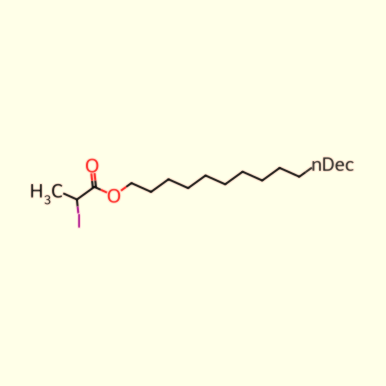 CCCCCCCCCCCCCCCCCCCCOC(=O)C(C)I